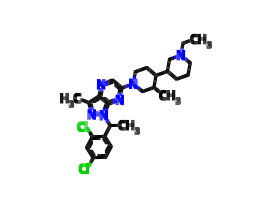 CCN1CCCC(C2CCN(c3cnc4c(C)nn(C(C)c5ccc(Cl)cc5Cl)c4n3)CC2C)C1